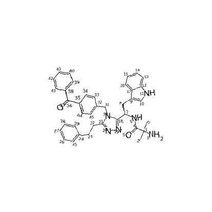 CC(C)(N)C(=O)N[C@H](Cc1c[nH]c2ccccc12)c1nnc(CCc2ccccc2)n1Cc1ccc(C(=O)c2ccccc2)cc1